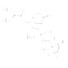 C=C(C)C(=O)OC1CC(C(C)(C)OCC(O)(C(F)(F)F)C(F)(F)F)C2CC1OC2=O